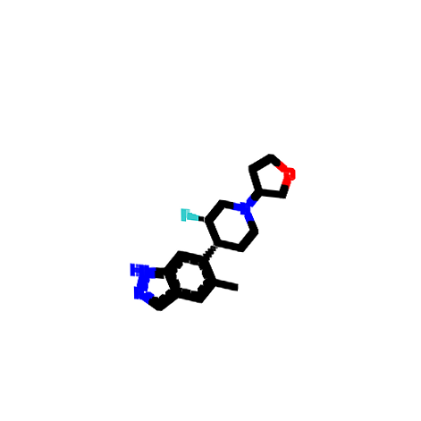 Cc1cc2cn[nH]c2cc1[C@H]1CCN(C2CCOC2)C[C@H]1F